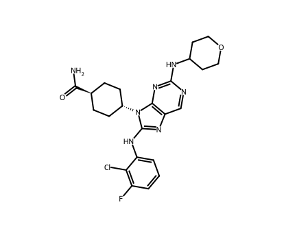 NC(=O)[C@H]1CC[C@H](n2c(Nc3cccc(F)c3Cl)nc3cnc(NC4CCOCC4)nc32)CC1